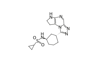 O=S(=O)(N[C@@H]1CCC[C@@H](c2nnc3cnc4c(n23)CCN4)C1)C1CC1